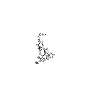 COCCOc1ccn2c(-c3csc(C4(c5ccc(C(=O)NO)cc5)CCCC4)n3)c(C)nc2c1